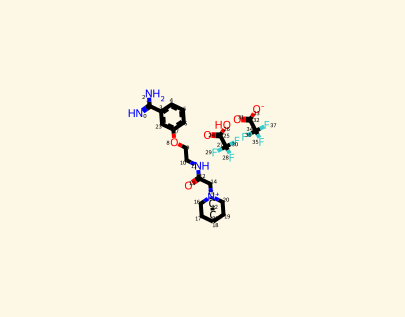 N=C(N)c1cccc(OCCNC(=O)C[N+]23CCC(CC2)CC3)c1.O=C(O)C(F)(F)F.O=C([O-])C(F)(F)F